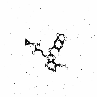 Nc1ncnc2c1nc(Sc1cc3c(cc1I)OCO3)n2CCC(=O)NC1CC1